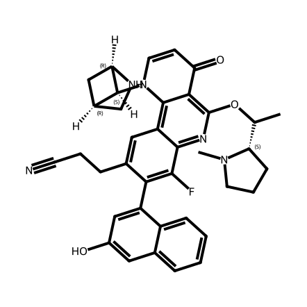 CC(Oc1nc2c(F)c(-c3cc(O)cc4ccccc34)c(CCC#N)cc2c2c1c(=O)ccn2[C@H]1[C@H]2CN[C@@H]1C2)[C@@H]1CCCN1C